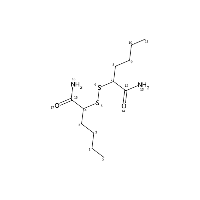 CCCCC(SSC(CCCC)C(N)=O)C(N)=O